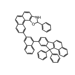 c1ccc(C2Nc3ccc4ccc5ccc(-c6cc(-c7ccc8c(c7)C(c7ccccc7)(c7ccccc7)c7c-8ccc8ccccc78)c7ccccc7c6)cc5c4c3O2)cc1